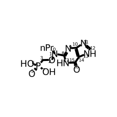 CCCN(OCP(=O)(O)O)c1nc2nc[nH]c2c(=O)[nH]1